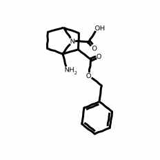 NC12CCC(CC1C(=O)OCc1ccccc1)N2C(=O)O